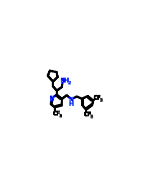 NCC(CC1CCCC1)c1ncc(C(F)(F)F)cc1CNCc1cc(C(F)(F)F)cc(C(F)(F)F)c1